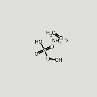 C=C.N.O=S(=O)(O)OO